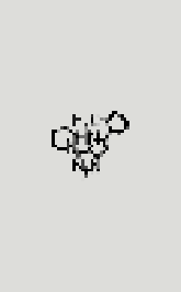 Cc1nc(N2CCCCC2)c2[nH]c(-c3ccccc3C(F)(F)F)cc2n1